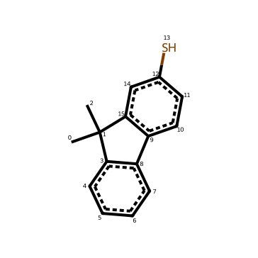 CC1(C)c2ccccc2-c2ccc(S)cc21